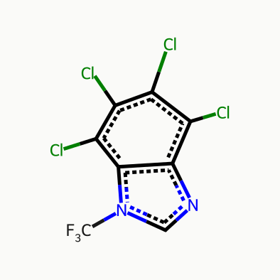 FC(F)(F)n1cnc2c(Cl)c(Cl)c(Cl)c(Cl)c21